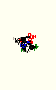 COc1ccc(CCC(=O)O)cc1-c1c(C)nc(N2CC(F)(F)C2)nc1CN1C(=O)O[C@H](c2cc(C)cc(C(F)(F)F)c2)[C@@H]1C